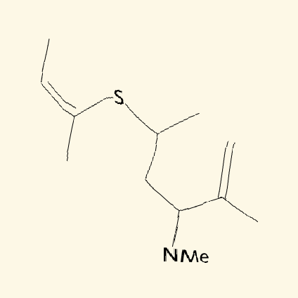 C=C(C)C(CC(C)S/C(C)=C\C)NC